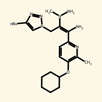 CCCCc1cn(C/C(=C(/N)c2ccc(OC3CCCCC3)c(C)n2)N(C)N)nn1